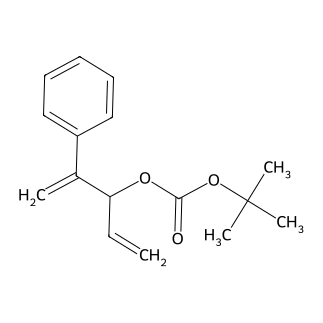 C=CC(OC(=O)OC(C)(C)C)C(=C)c1ccccc1